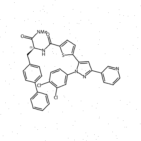 CNC(=O)[C@H](Cc1ccc(-c2ccccc2)cc1)NC(=O)c1ccc(-c2cc(-c3cccnc3)nn2-c2ccc(Cl)c(Cl)c2)s1